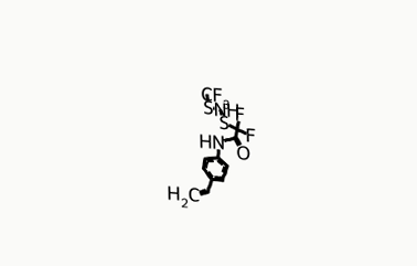 C=Cc1ccc(NC(=O)C(F)(F)SNSC(F)(F)F)cc1